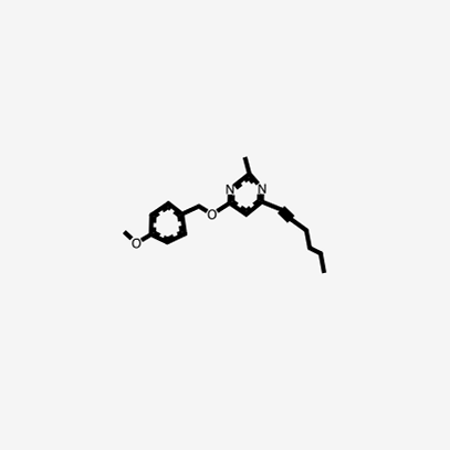 CCCCC#Cc1cc(OCc2ccc(OC)cc2)nc(C)n1